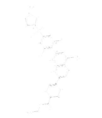 CCOC(=O)C1CC=C(c2ccc3c(C)cc(-c4c(F)cc(S(=O)(=O)N5CC[C@H](F)C5)cc4F)nc3n2)CC1